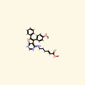 COC(=O)/C=C/CCCNc1ncnc2oc(-c3ccccc3)c(-c3ccc(OC)cc3)c12